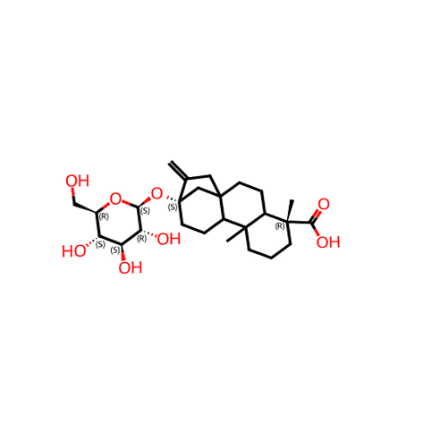 C=C1CC23CCC4C(C)(CCC[C@@]4(C)C(=O)O)C2CC[C@]1(O[C@@H]1O[C@H](CO)[C@@H](O)[C@H](O)[C@H]1O)C3